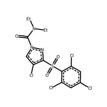 CCN(CC)C(=O)n1cc(Cl)c(S(=O)(=O)c2c(Cl)cc(Cl)cc2Cl)n1